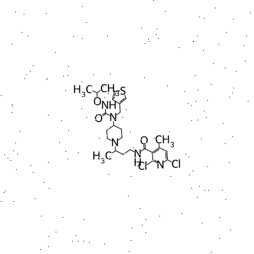 Cc1cc(Cl)nc(Cl)c1C(=O)NCCC(C)N1CCC(N(Cc2ccsc2)C(=O)NOC(C)C)CC1